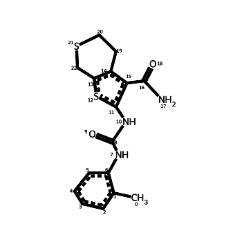 Cc1ccccc1NC(=O)Nc1sc2c(c1C(N)=O)CCSC2